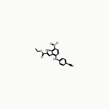 CCOC(=O)c1cc2c(Nc3ccc(C#N)cc3)ccc([N+](=O)[O-])c2[nH]1